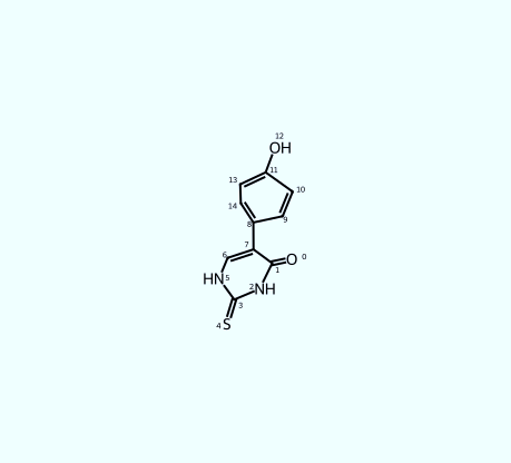 O=c1[nH]c(=S)[nH]cc1-c1ccc(O)cc1